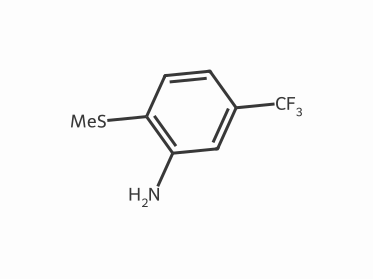 CSc1ccc(C(F)(F)F)cc1N